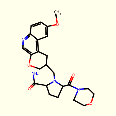 COc1ccc2ncc3c(c2c1)CC(CN1C(C(N)=O)[CH]CC1C(=O)N1CCOCC1)CO3